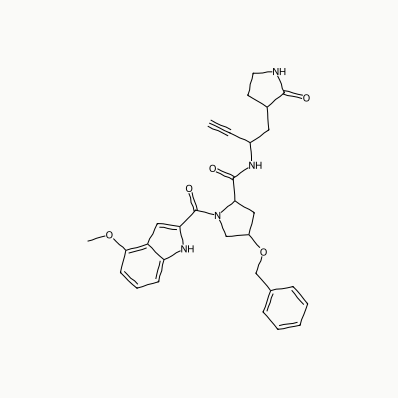 C#CC(CC1CCNC1=O)NC(=O)C1CC(OCc2ccccc2)CN1C(=O)c1cc2c(OC)cccc2[nH]1